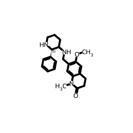 COc1cc2c(cc1CNC1CCCN[C@H]1c1ccccc1)N(C)C(=O)CC2